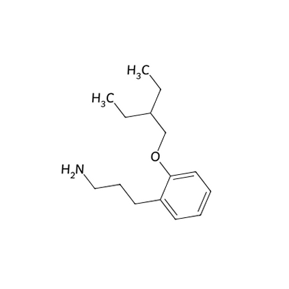 CCC(CC)COc1ccccc1CCCN